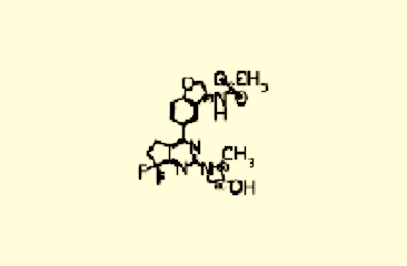 C[C@H]1[C@H](O)CN1c1nc(-c2ccc3c(c2)[C@@H](NS(C)(=O)=O)CO3)c2c(n1)C(F)(F)CC2